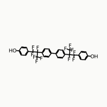 Oc1ccc(C(F)(F)C(F)(c2ccc(-c3ccc(C(F)(C(F)(F)F)C(F)(F)c4ccc(O)cc4)cc3)cc2)C(F)(F)F)cc1